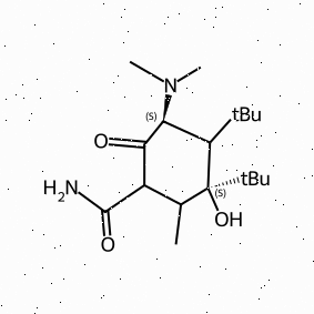 CC1C(C(N)=O)C(=O)[C@@H](N(C)C)C(C(C)(C)C)[C@]1(O)C(C)(C)C